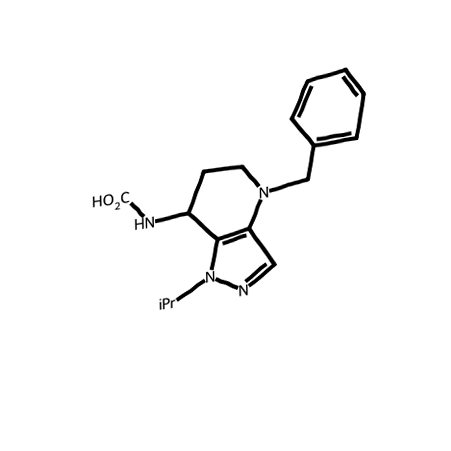 CC(C)n1ncc2c1C(NC(=O)O)CCN2Cc1ccccc1